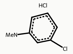 CNc1cccc(Cl)c1.Cl